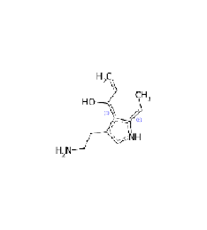 C=C/C(O)=c1/c(CCN)c[nH]/c1=C/C